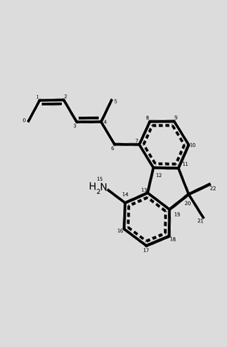 C/C=C\C=C(/C)Cc1cccc2c1-c1c(N)cccc1C2(C)C